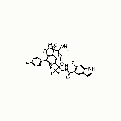 C[C@]1(C(N)=O)COc2c1cc(C(O)(CNC(=O)c1cc3cc[nH]c3cc1F)C(F)(F)F)nc2-c1ccc(F)cc1